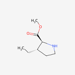 CC[C@H]1CCN[C@@H]1C(=O)OC